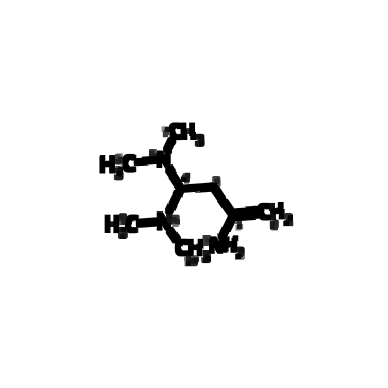 C=C(N)CC(N(C)C)N(C)C